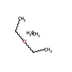 C=C.CCCCCCCC/C=C\CCCCCCCCOCCCCCCCC/C=C\CCCCCCCC